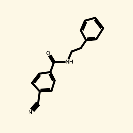 N#Cc1ccc(C(=O)NCCc2ccccc2)cc1